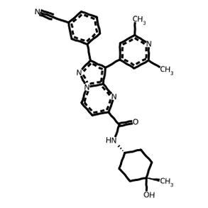 Cc1cc(-c2c(-c3cccc(C#N)c3)nn3ccc(C(=O)N[C@H]4CC[C@@](C)(O)CC4)nc23)cc(C)n1